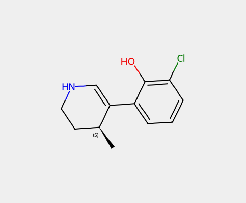 C[C@H]1CCNC=C1c1cccc(Cl)c1O